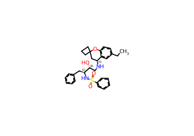 CCc1ccc2c(c1)[C@@H](NC[C@@H](O)[C@H](Cc1ccccc1)NS(=O)(=O)c1ccccc1)CC1(CCC1)O2